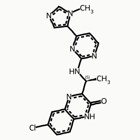 C[C@H](Nc1nccc(-c2cncn2C)n1)c1nc2cc(Cl)ccc2[nH]c1=O